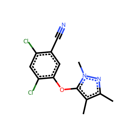 Cc1nn(C)c(Oc2cc(C#N)c(Cl)cc2Cl)c1C